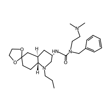 CCCN1C[C@@H](NC(=O)N(CCN(C)C)Cc2ccccc2)C[C@@H]2CC3(CC[C@H]21)OCCO3